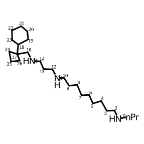 CCCNCCCCCCCCCNCCCNCC1(C2CCCCC2)CCC1